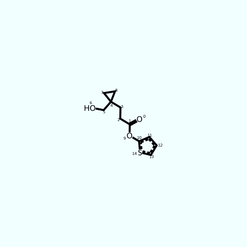 O=C(CCC1(CO)CC1)Oc1cccs1